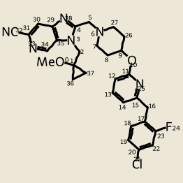 COC1(Cn2c(CN3CCC(Oc4cccc(Cc5ccc(Cl)cc5F)n4)CC3)nc3cc(C#N)ncc32)CC1